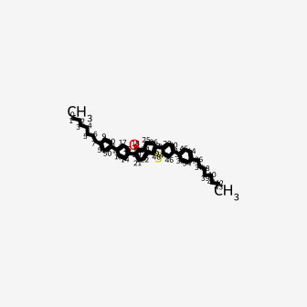 CCCCCCCCc1ccc(-c2ccc3c(c2)oc2c3ccc3c2ccc2c4ccc(-c5ccc(CCCCCCCC)cc5)cc4sc23)cc1